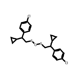 Clc1ccc(C(CSOSCC(c2ccc(Cl)cc2)C2CC2)C2CC2)cc1